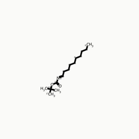 CCCCCCCCCC=NC(=O)OC(C)(C)C